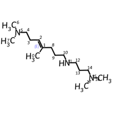 C/C(=C\CCN(C)C)CCCNCCCN(C)C